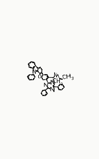 C=C(/N=C\C=C/C)c1cc2c(cc1-c1nc(-c3ccccc3)nc(-c3ccccc3)n1)oc1c2ccc2c3ccccc3n(-c3ccccc3)c21